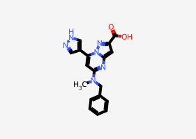 CN(Cc1ccccc1)c1cc(-c2cn[nH]c2)n2nc(C(=O)O)cc2n1